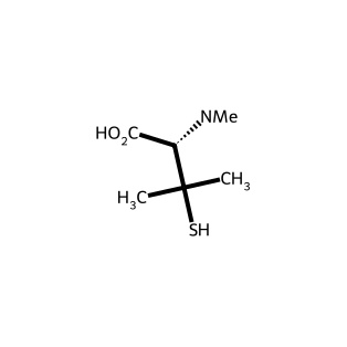 CN[C@@H](C(=O)O)C(C)(C)S